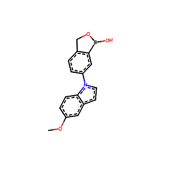 COc1ccc2c(ccn2-c2ccc3c(c2)B(O)OC3)c1